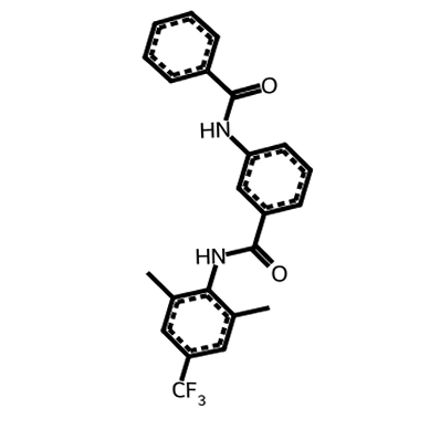 Cc1cc(C(F)(F)F)cc(C)c1NC(=O)c1cccc(NC(=O)c2ccccc2)c1